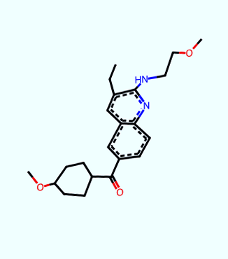 CCc1cc2cc(C(=O)C3CCC(OC)CC3)ccc2nc1NCCOC